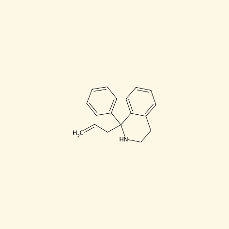 C=CCC1(c2ccccc2)NCCc2ccccc21